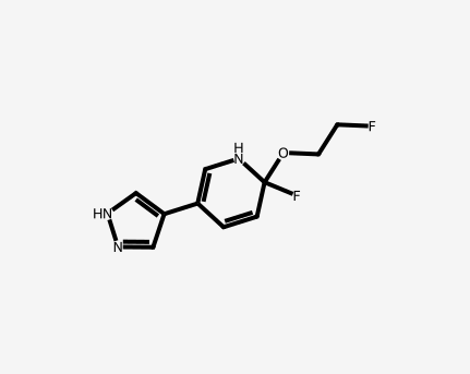 FCCOC1(F)C=CC(c2cn[nH]c2)=CN1